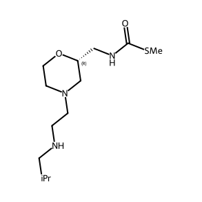 CSC(=O)NC[C@@H]1CN(CCNCC(C)C)CCO1